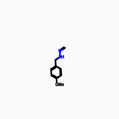 [CH]=NNCc1ccc(OC)cc1